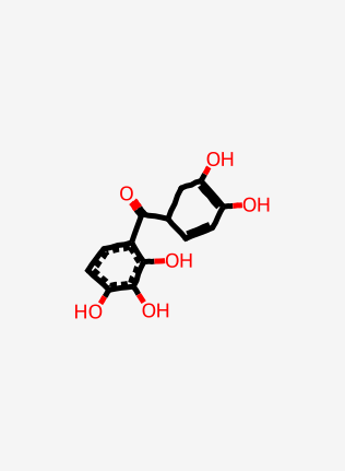 O=C(c1ccc(O)c(O)c1O)C1C=CC(O)=C(O)C1